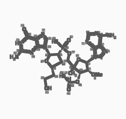 CO[C@H]1[C@H](n2cnc3c(N)ncnc32)OC(C)(COP(=O)(S)[C@@H]2C[C@@H](CCO)O[C@H]2n2cnc3c(=O)[nH]c(N)nc32)[C@H]1O[PH](=O)S